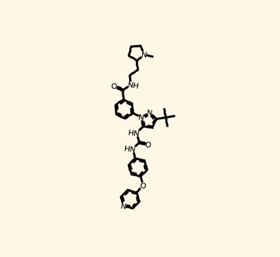 CN1CCCC1CCNC(=O)c1cccc(-n2nc(C(C)(C)C)cc2NC(=O)Nc2ccc(Oc3ccncc3)cc2)c1